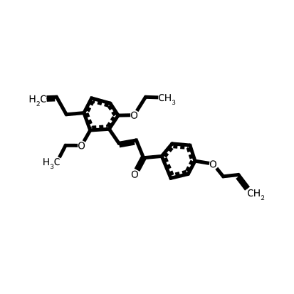 C=CCOc1ccc(C(=O)/C=C/c2c(OCC)ccc(CC=C)c2OCC)cc1